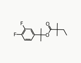 CCC(C)(C)C(=O)OC(C)(C)c1ccc(F)c(F)c1